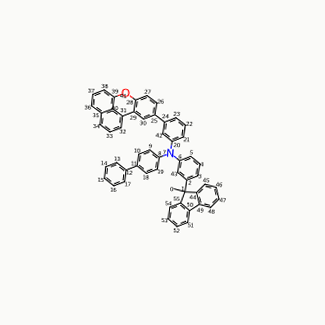 CC1(c2cccc(N(c3ccc(-c4ccccc4)cc3)c3cccc(-c4ccc5c(c4)-c4cccc6cccc(c46)O5)c3)c2)c2ccccc2-c2ccccc21